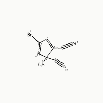 N#CC1=CC(Br)=NC1(N)C#N